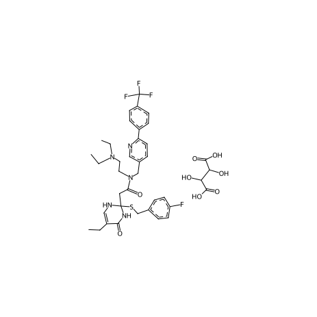 CCC1=CNC(CC(=O)N(CCN(CC)CC)Cc2ccc(-c3ccc(C(F)(F)F)cc3)nc2)(SCc2ccc(F)cc2)NC1=O.O=C(O)C(O)C(O)C(=O)O